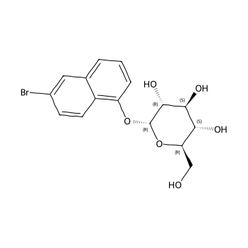 OC[C@H]1O[C@H](Oc2cccc3cc(Br)ccc23)[C@H](O)[C@@H](O)[C@@H]1O